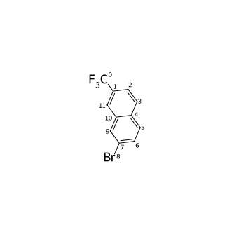 FC(F)(F)c1ccc2ccc(Br)cc2c1